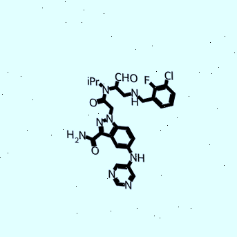 CC(C)N(C(=O)Cn1nc(C(N)=O)c2cc(Nc3cncnc3)ccc21)C(C=O)CNCc1cccc(Cl)c1F